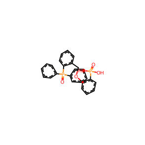 O=P(O)(O)c1ccccc1OCc1ccccc1P(=O)(c1ccccc1)c1ccccc1